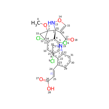 COC1([C@]2(c3c(Cl)cc(Cl)cc3Cl)NOC=C2C(=O)n2ccc3c(/C=C/C(=O)O)cccc32)CC1